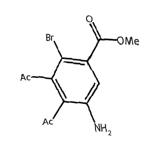 COC(=O)c1cc(N)c(C(C)=O)c(C(C)=O)c1Br